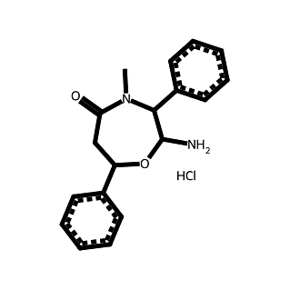 CN1C(=O)CC(c2ccccc2)OC(N)C1c1ccccc1.Cl